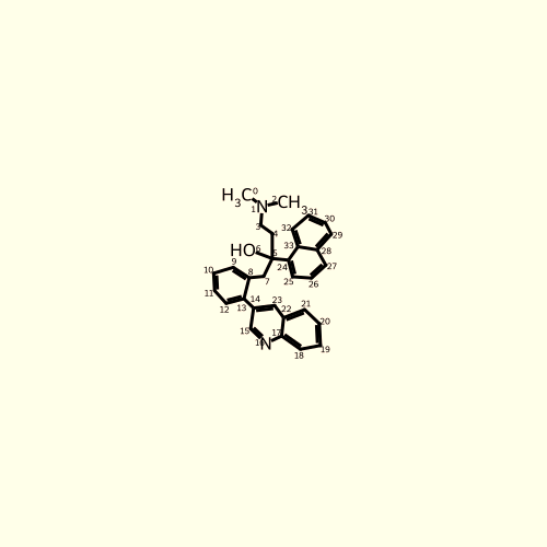 CN(C)CCC(O)(Cc1ccccc1-c1cnc2ccccc2c1)c1cccc2ccccc12